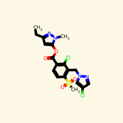 CCc1cc(OC(=O)c2ccc(S(C)(=O)=O)c(Cn3cc(Cl)cn3)c2Cl)n(C)n1